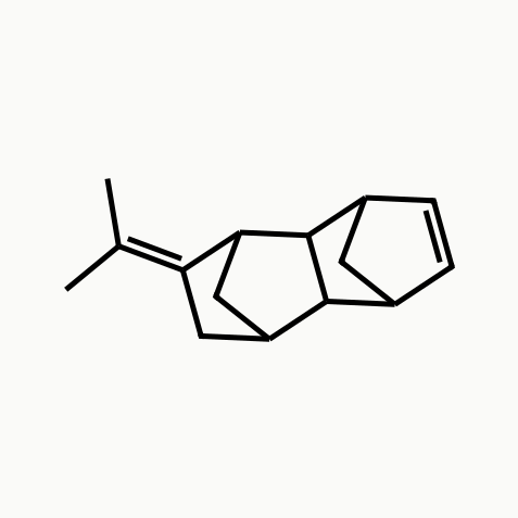 CC(C)=C1CC2CC1C1C3C=CC(C3)C21